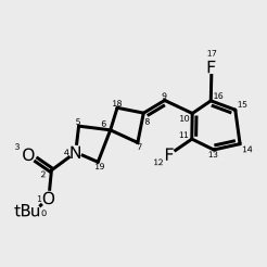 CC(C)(C)OC(=O)N1CC2(CC(=Cc3c(F)cccc3F)C2)C1